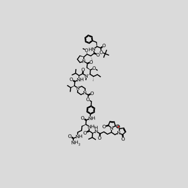 CC[C@H](C)[C@@H]([C@@H](CC(=O)N1CCC[C@H]1[C@H](OC)[C@@H](C)C(=O)N[C@@H](Cc1ccccc1)C(=O)OC(C)(C)C)OC)N(C)C(=O)[C@@H](NC(=O)[C@H](C(C)C)N1CCN(C(=O)OCc2ccc(NC(=O)[C@H](CCCNC(N)=O)NC(=O)[C@@H](NC(=O)CCC(CN3C(=O)C=CC3=O)N3C(=O)C=CC3=O)C(C)C)cc2)CC1)C(C)C